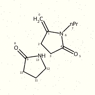 C=C1CCC(=O)N1CCC.O=C1CCCN1